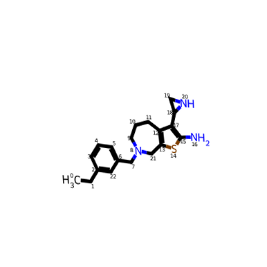 CCc1cccc(CN2CCCc3c(sc(N)c3C3CN3)C2)c1